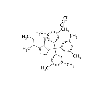 CCC(C)C1=CCC(C(c2cc(C)cc(C)c2)(c2cc(C)cc(C)c2)c2cc(C)cc(C)c2)=[C]1[Ti+3].[Cl-].[Cl-].[Cl-]